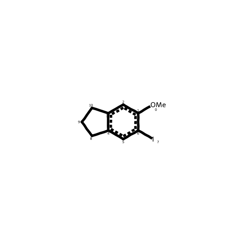 COc1cc2c(cc1I)CCC2